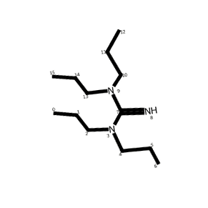 CCCN(CCC)C(=N)N(CCC)CCC